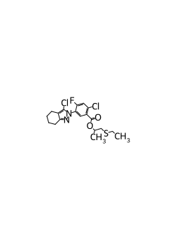 CCSCC(C)OC(=O)c1cc(-n2nc3c(c2Cl)CCCC3)c(F)cc1Cl